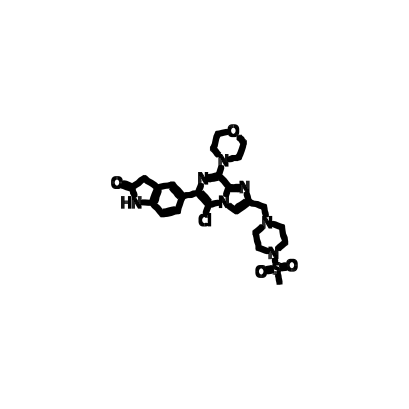 CS(=O)(=O)N1CCN(Cc2cn3c(Cl)c(-c4ccc5c(c4)CC(=O)N5)nc(N4CCOCC4)c3n2)CC1